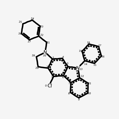 Clc1c2c(cc3c1c1ccccc1n3-c1ccccc1)N(CC1=CCCC=C1)CC2